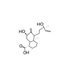 C=C[C@](C)(O)CCC1C(=C)[C@H](O)CC2[C@@H](C(=O)O)CCC[C@]12C